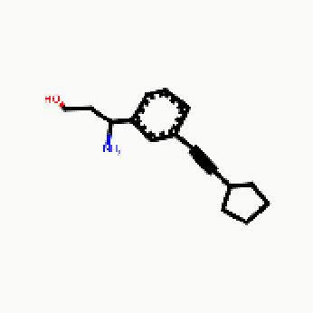 NC(CCO)c1cccc(C#CC2CCCC2)c1